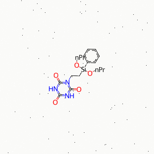 CCCO[Si](CCn1c(=O)[nH]c(=O)[nH]c1=O)(OCCC)c1ccccc1